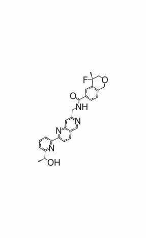 C[C@H](O)c1cccc(-c2ccc3cnc(CNC(=O)c4ccc5c(c4)[C@](C)(F)COC5)cc3n2)n1